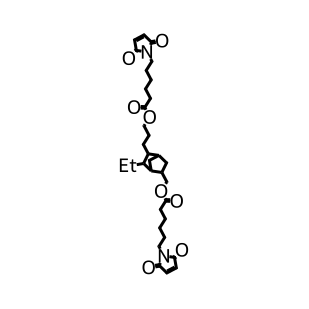 CCC1C(CCCOC(=O)CCCCCN2C(=O)C=CC2=O)C2CC(COC(=O)CCCCCN3C(=O)C=CC3=O)C1C2